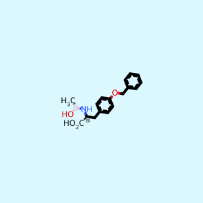 CB(O)N[C@@H](Cc1ccc(OCc2ccccc2)cc1)C(=O)O